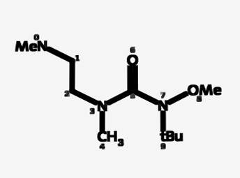 CNCCN(C)C(=O)N(OC)C(C)(C)C